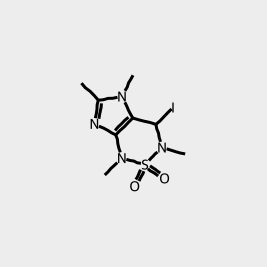 Cc1nc2c(n1C)C(I)N(C)S(=O)(=O)N2C